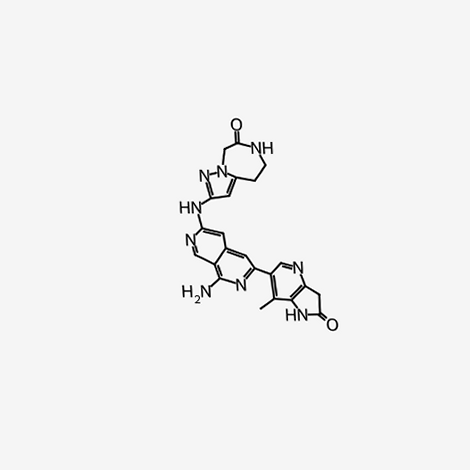 Cc1c(-c2cc3cc(Nc4cc5n(n4)CC(=O)NCC5)ncc3c(N)n2)cnc2c1NC(=O)C2